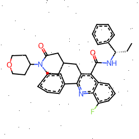 CC[C@H](NC(=O)c1c(CC2CCN(C3CCOCC3)C(=O)C2)c(-c2ccccc2)nc2c(F)cccc12)c1ccccc1